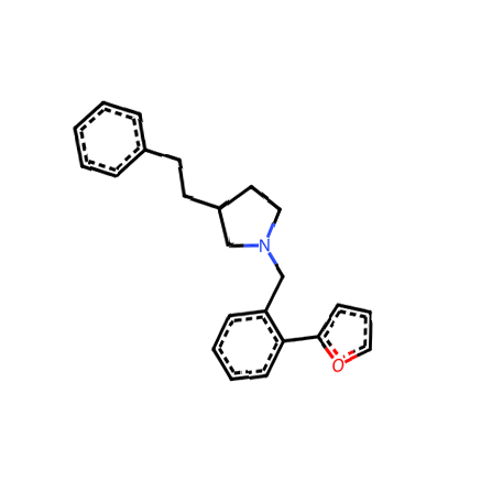 c1ccc(CCC2CCN(Cc3ccccc3-c3ccco3)C2)cc1